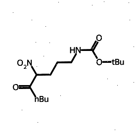 CCCCC(=O)C(CCCNC(=O)OC(C)(C)C)[N+](=O)[O-]